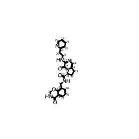 O=C1NCOc2c(CNC(=O)[C@@H]3CCc4cnc(NCCc5ccccn5)c(=O)n43)cccc21